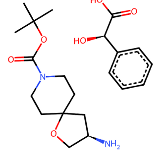 CC(C)(C)OC(=O)N1CCC2(CC1)C[C@@H](N)CO2.O=C(O)[C@H](O)c1ccccc1